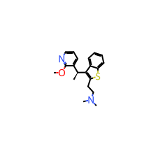 COc1ncccc1[C@H](C)c1c(CCN(C)C)sc2ccccc12